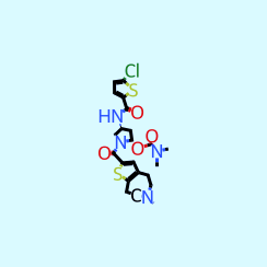 CN1CCc2cc(C(=O)N3C[C@H](NC(=O)c4ccc(Cl)s4)C[C@@H]3OC(=O)N(C)C)sc2CC1